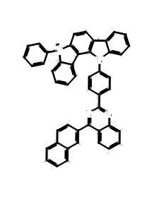 O=P1(c2ccccc2)c2ccccc2-c2c1ccc1c3ccccc3n(-c3ccc(-c4nc(-c5ccc6ccccc6c5)c5ccccc5n4)cc3)c21